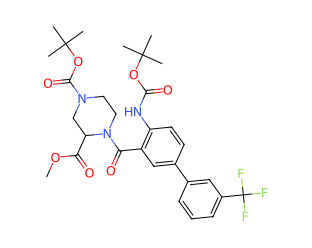 COC(=O)C1CN(C(=O)OC(C)(C)C)CCN1C(=O)c1cc(-c2cccc(C(F)(F)F)c2)ccc1NC(=O)OC(C)(C)C